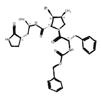 CC(C)[C@@H]1[C@@H](C(=O)N[C@H](C=O)C[C@@H]2CCNC2=O)N(C(=O)[C@H](Cc2ccccc2)NC(=O)OCc2ccccc2)C[C@@H]1C